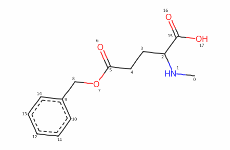 CNC(CCC(=O)OCc1ccccc1)C(=O)O